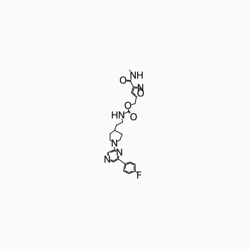 CNC(=O)c1cc(COC(=O)NCCC2CCN(c3cncc(-c4ccc(F)cc4)n3)CC2)on1